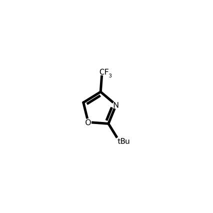 CC(C)(C)c1nc(C(F)(F)F)co1